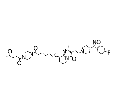 CC(=O)CCC(=O)N1CCN(C(=O)CCCCCOC2CCCn3c2nc(C)c(CCN2CCC(c4noc5cc(F)ccc45)CC2)c3=O)CC1